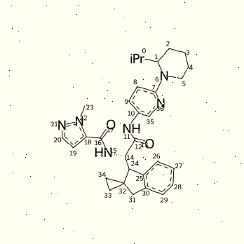 CC(C)C1CCCCN1c1ccc(NC(=O)[C@@H](NC(=O)c2ccnn2C)C2c3ccccc3CC23CC3)cn1